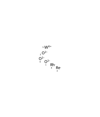 [O-2].[O-2].[O-2].[Re].[Rh].[W+6]